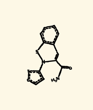 NC(=O)C1=Cc2ccccc2SN1c1ccon1